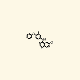 Cc1cc(Nc2ncnc3cnc(Cl)cc23)ccc1Oc1ccccc1